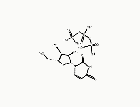 O=P(O)(O)OP(=O)(O)OP(=O)(O)O.O=c1ccn([C@@H]2O[C@H](CO)[C@@H](O)[C@H]2O)c(=O)[nH]1